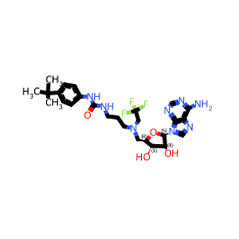 CC(C)(C)c1ccc(NC(=O)NCCCN(C[C@H]2O[C@H](n3cnc4c(N)ncnc43)[C@H](O)[C@@H]2O)CC(F)(F)F)cc1